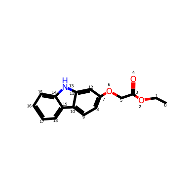 CCOC(=O)COc1ccc2c(c1)[nH]c1ccccc12